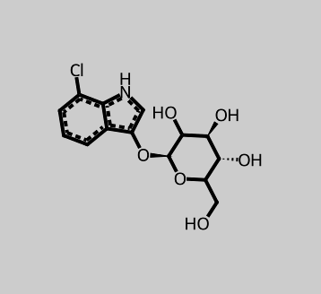 OCC1O[C@@H](Oc2c[nH]c3c(Cl)cccc23)C(O)[C@@H](O)[C@@H]1O